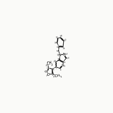 Cc1noc(C)c1-c1cnc2cnn(Cc3ccccc3)c2c1